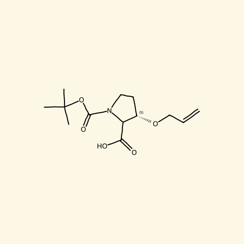 C=CCO[C@H]1CCN(C(=O)OC(C)(C)C)C1C(=O)O